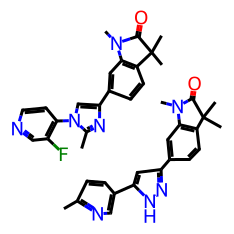 Cc1ccc(-c2cc(-c3ccc4c(c3)N(C)C(=O)C4(C)C)n[nH]2)cn1.Cc1nc(-c2ccc3c(c2)N(C)C(=O)C3(C)C)cn1-c1ccncc1F